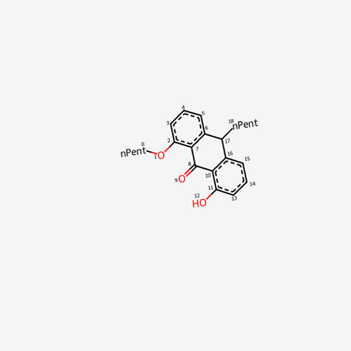 CCCCCOc1cccc2c1C(=O)c1c(O)cccc1C2CCCCC